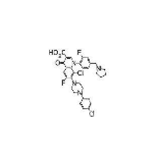 O=C(O)c1cn(-c2ccc(CN3CCCC3)cc2F)c2c(Cl)c(N3CCN(c4ccc(Cl)cc4)CC3)c(F)cc2c1=O